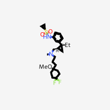 CC[C@@]1(c2cccc(NS(=O)(=O)C3CC3)c2)C[C@H]1CN(C)CCCC1(OC)CCC(F)(F)CC1